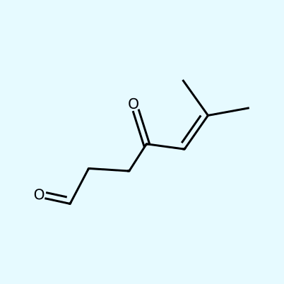 CC(C)=CC(=O)CCC=O